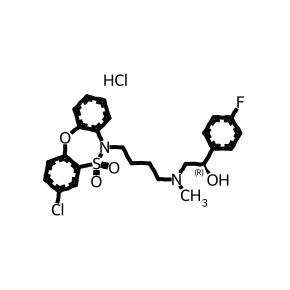 CN(CCCCN1c2ccccc2Oc2ccc(Cl)cc2S1(=O)=O)C[C@H](O)c1ccc(F)cc1.Cl